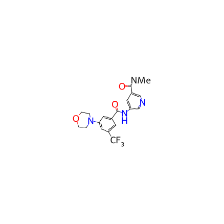 CNC(=O)c1cncc(NC(=O)c2cc(N3CCOCC3)cc(C(F)(F)F)c2)c1